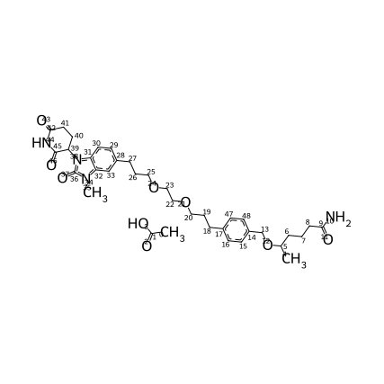 CC(=O)O.CC(CCCC(N)=O)OCc1ccc(CCCOCCOCCCc2ccc3c(c2)n(C)c(=O)n3C2CCC(=O)NC2=O)cc1